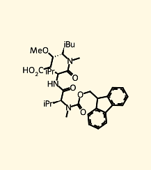 CC[C@H](C)[C@@H](C(CC(=O)O)OC)N(C)C(=O)[C@@H](NC(=O)[C@H](C(C)C)N(C)C(=O)OCC1c2ccccc2-c2ccccc21)C(C)C